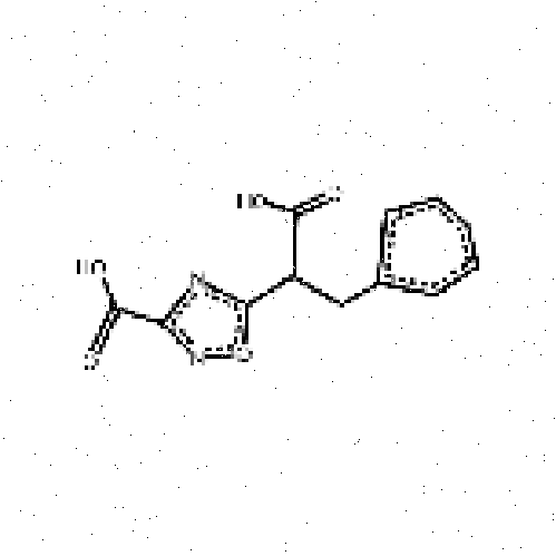 O=C(O)c1noc(C(Cc2ccccc2)C(=O)O)n1